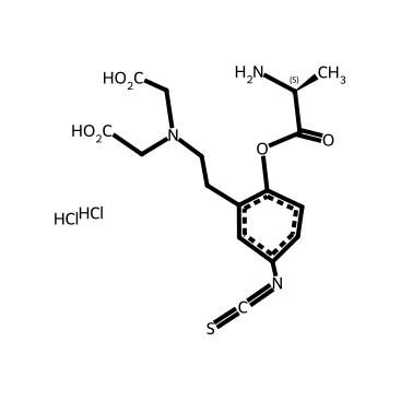 C[C@H](N)C(=O)Oc1ccc(N=C=S)cc1CCN(CC(=O)O)CC(=O)O.Cl.Cl